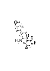 N[C@H]1C[C@@H](N2CC3COCC3C2)CO[C@@H]1c1cc(F)cc(F)c1F